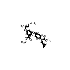 COC[C@H](C)Oc1cc(Oc2ccc(N(CC3CC3)C(C)=O)cc2)cc(C(=O)OC)c1